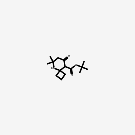 CC1(C)CC(=O)C(C(=O)OC(C)(C)C)C2(CCC2)N1